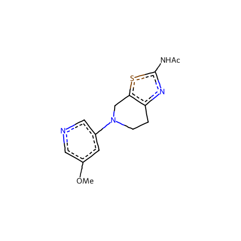 COc1cncc(N2CCc3nc(NC(C)=O)sc3C2)c1